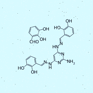 Nc1nc(N/N=C/c2cccc(O)c2O)cc(N/N=C/c2cccc(O)c2O)n1.O=Cc1cccc(O)c1O